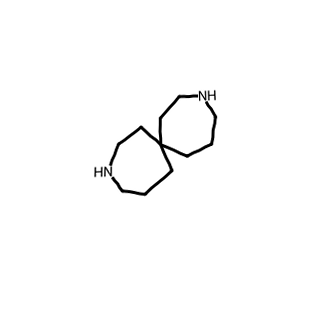 C1CNCCC2(C1)CCCNCC2